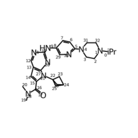 CC(C)N1CCN(c2ccc(Nc3ncc4cc(C(=O)N(C)C)n(C56CC(C5)C6)c4n3)cn2)CC1